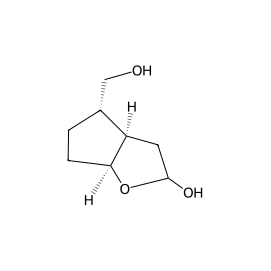 OC[C@H]1CC[C@@H]2OC(O)C[C@H]12